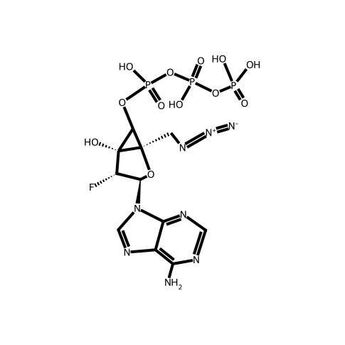 [N-]=[N+]=NC[C@]12O[C@@H](n3cnc4c(N)ncnc43)[C@H](F)[C@@]1(O)C2OP(=O)(O)OP(=O)(O)OP(=O)(O)O